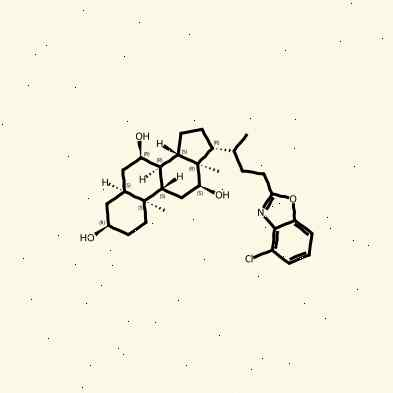 CC(CCc1nc2c(Cl)cccc2o1)[C@H]1CC[C@H]2[C@@H]3[C@H](O)C[C@@H]4C[C@H](O)CC[C@]4(C)[C@H]3C[C@H](O)[C@]12C